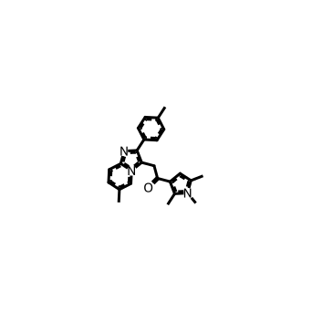 Cc1ccc(-c2nc3ccc(C)cn3c2CC(=O)c2cc(C)n(C)c2C)cc1